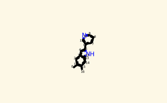 Cc1cc2cc(-c3cccnc3)[nH]c2cc1C